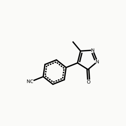 CC1=C(c2ccc(C#N)cc2)C(=O)N=N1